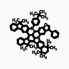 CC(C)(C)c1ccc(N2B3c4cc5occ(-c6ccccc6)c5cc4-n4c5cc6c(cc5c5c7c(c(c3c54)-c3cc4c(cc32)C(C)(C)c2ccccc2-4)-c2ccccc2C7(C)C)C(C)(C)CCC6(C)C)cc1